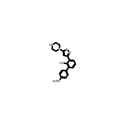 CC(=O)Nc1ccc(-c2cccc(-c3cc(N4CCNCC4)sn3)c2O)cc1